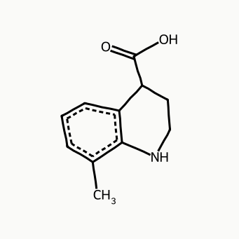 Cc1cccc2c1NCCC2C(=O)O